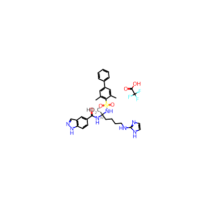 Cc1cc(-c2ccccc2)cc(C)c1S(=O)(=O)N[C@](CCCCNc1ncc[nH]1)(NC(=O)c1ccc2[nH]ncc2c1)C(=O)O.O=C(O)C(F)(F)F